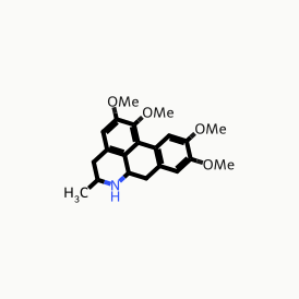 COc1cc2c(cc1OC)-c1c(OC)c(OC)cc3c1C(C2)NC(C)C3